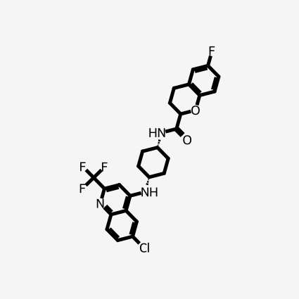 O=C(N[C@H]1CC[C@@H](Nc2cc(C(F)(F)F)nc3ccc(Cl)cc23)CC1)C1CCc2cc(F)ccc2O1